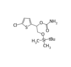 CC(C)(C)[Si](C)(C)OCC(OC(N)=O)c1ccc(Cl)s1